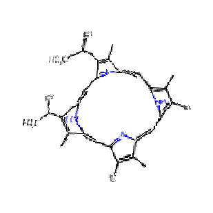 CCC1=C(C)c2cc3[nH]c(cc4nc(cc5[nH]c(cc1n2)c(C)c5C(CC)C(=O)O)C(C(CC)C(=O)O)=C4C)c(C)c3CC